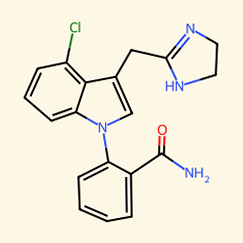 NC(=O)c1ccccc1-n1cc(CC2=NCCN2)c2c(Cl)cccc21